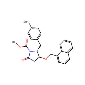 COc1ccc(C[C@H]2C(OCc3cccc4ccccc34)CC(=O)N2C(=O)OC(C)(C)C)cc1